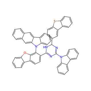 c1ccc2cc3c(cc2c1)c1ccccc1n3-c1c(C2=NC(n3c4ccccc4c4ccccc43)=NC(c3ccc4sc5ccccc5c4c3)N2)ccc2c1oc1ccccc12